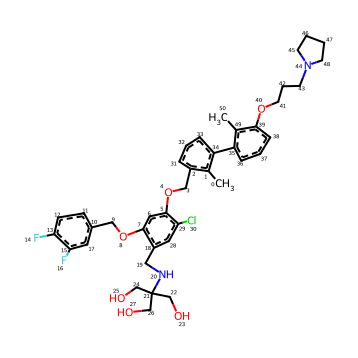 Cc1c(COc2cc(OCc3ccc(F)c(F)c3)c(CNC(CO)(CO)CO)cc2Cl)cccc1-c1cccc(OCCCN2CCCC2)c1C